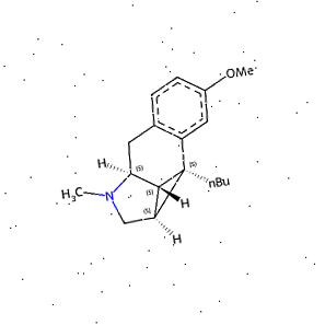 CCCC[C@@]12c3cc(OC)ccc3C[C@H]3[C@H]1[C@@H]2CN3C